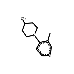 Cc1cnccc1N1CCC(O)CC1